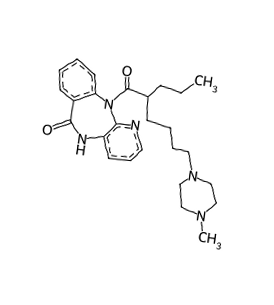 CCCC(CCCCN1CCN(C)CC1)C(=O)N1c2ccccc2C(=O)Nc2cccnc21